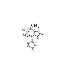 CC(C)C1=C(C(O)c2ccccc2)CCC1